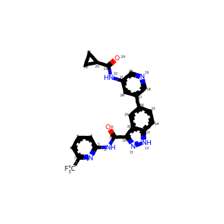 O=C(Nc1cccc(C(F)(F)F)n1)c1n[nH]c2ccc(-c3cncc(NC(=O)C4CC4)c3)cc12